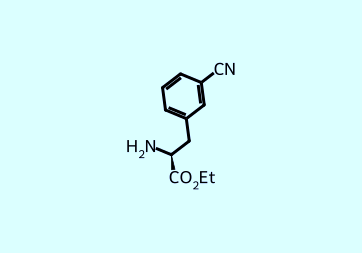 CCOC(=O)[C@@H](N)Cc1cccc(C#N)c1